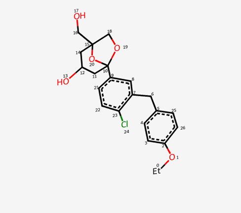 CCOc1ccc(Cc2cc(C34CC(O)CC(CO)(CO3)O4)ccc2Cl)cc1